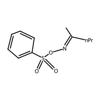 CCCC(C)=NOS(=O)(=O)c1ccccc1